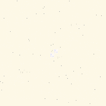 CCCCCCCCCCCCCCCCCCCN1C=CN(CCCCCCCCCCCCCCCCCC)C1C(C)C